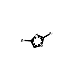 [CH2]Cc1nc(Br)cs1